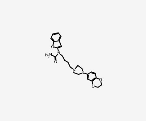 NC(=O)N(CCCCN1CCN(c2ccc3c(c2)OCCO3)CC1)c1cc2ccccc2o1